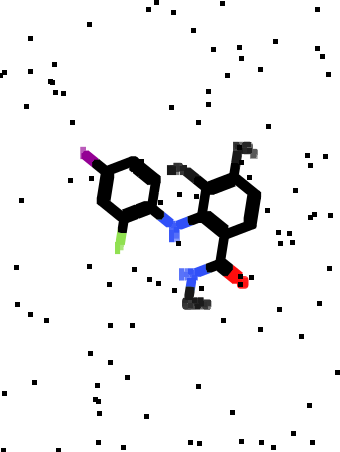 CCCc1c([N+](=O)[O-])ccc(C(=O)NOC)c1Nc1ccc(I)cc1F